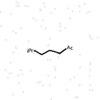 CC(=O)[CH]CCC(C)C